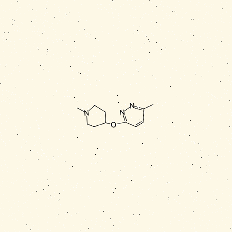 Cc1ccc(OC2CCN(C)CC2)nn1